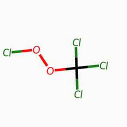 ClOOC(Cl)(Cl)Cl